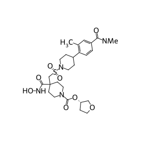 CNC(=O)c1ccc(C2CCN(S(=O)(=O)CC3(C(=O)NO)CCN(C(=O)O[C@H]4CCOC4)CC3)CC2)c(C)c1